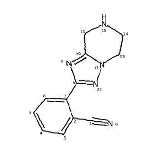 N#Cc1ccccc1-c1nc2n(n1)CCNC2